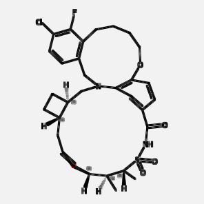 C[C@@H]1[C@@H](C)S(=O)(=O)NC(=O)c2ccc3c(c2)N(Cc2ccc(Cl)c(F)c2CCCCO3)C[C@@H]2CC[C@H]2CC2=C[C@H]1C2